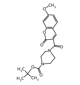 COc1ccc2cc(C(=O)N3CCN(C(=O)OC(C)(C)C)CC3)c(=O)oc2c1